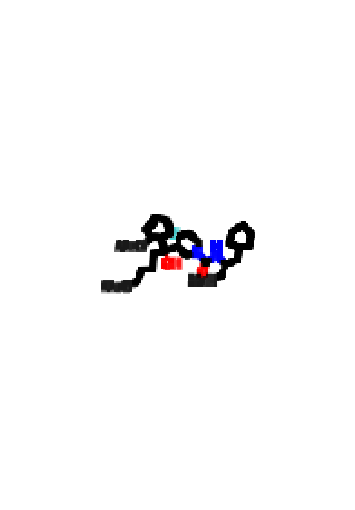 CNC[C@H](CC1CCCCC1)NC(=O)N1CCC[C@@H]([C@@](O)(CCCCOC)c2c(F)cccc2OC)C1